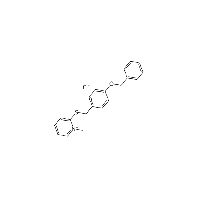 C[n+]1ccccc1SCc1ccc(OCc2ccccc2)cc1.[Cl-]